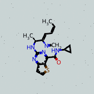 C=N/C(=C\C=C/C)[C@H](C)Nc1nc(C(=O)NC2CC2)c2sccc2n1